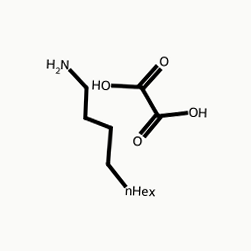 CCCCCCCCCCN.O=C(O)C(=O)O